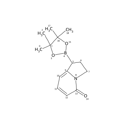 CC1(C)OB(C2CCn3c2cccc3=O)OC1(C)C